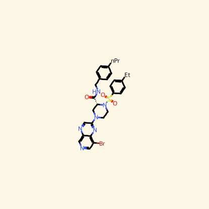 CCCc1ccc(CNC(=O)[C@H]2CN(c3cnc4cncc(Br)c4n3)CCN2S(=O)(=O)c2ccc(CC)cc2)cc1